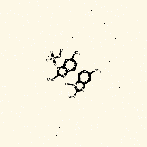 CCOS(=O)(=O)[O-].CC[n+]1c(SC)sc2cc([N+](=O)[O-])ccc21.CSc1nc2ccc([N+](=O)[O-])cc2s1